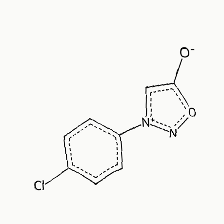 [O-]c1c[n+](-c2ccc(Cl)cc2)no1